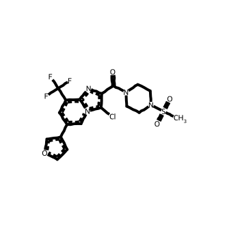 CS(=O)(=O)N1CCN(C(=O)c2nc3c(C(F)(F)F)cc(-c4ccoc4)cn3c2Cl)CC1